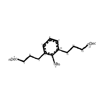 [CH2]CCCc1c(CCCCCCCCCCCCC)cccc1CCCCCCCCCCCCC